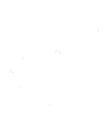 CCCCNc1cc(C(=O)O)cc(S(N)(=O)=O)c1Cc1cccs1